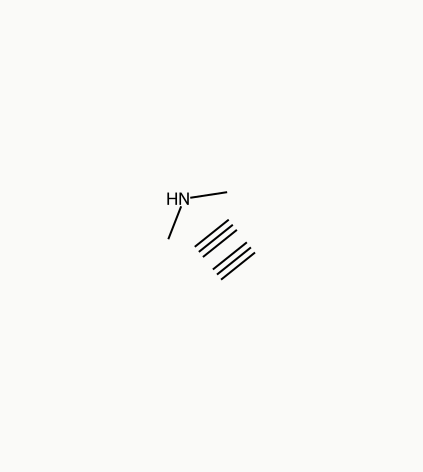 C#C.C#C.CNC